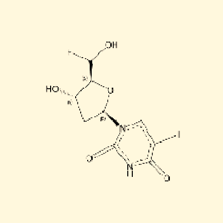 O=c1[nH]c(=O)n([C@H]2C[C@H](O)[C@@H](C(O)F)O2)cc1I